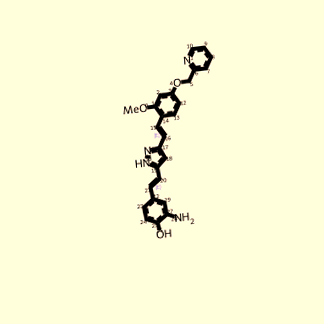 COc1cc(OCc2ccccn2)ccc1/C=C/c1cc(/C=C/c2ccc(O)c(N)c2)[nH]n1